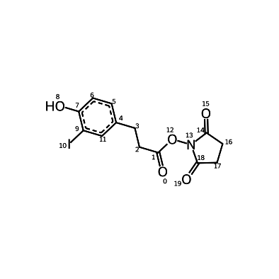 O=C(CCc1ccc(O)c(I)c1)ON1C(=O)CCC1=O